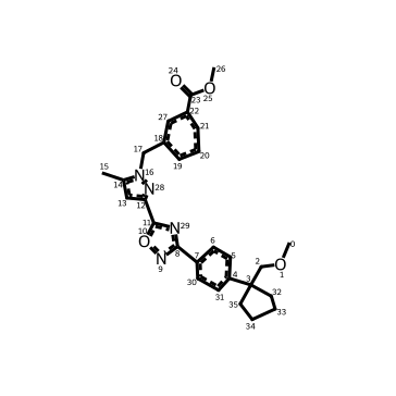 COCC1(c2ccc(-c3noc(-c4cc(C)n(Cc5cccc(C(=O)OC)c5)n4)n3)cc2)CCCC1